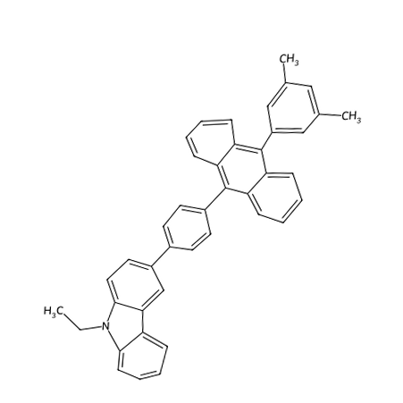 CCn1c2ccccc2c2cc(-c3ccc(-c4c5ccccc5c(-c5cc(C)cc(C)c5)c5ccccc45)cc3)ccc21